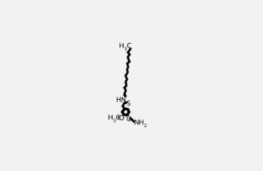 CCCCCCCCCCCCCCCCC=CNC(=S)Cc1ccc(OCCN)c(OC)c1